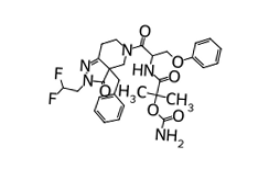 CC(C)(OC(N)=O)C(=O)NC(COc1ccccc1)C(=O)N1CCC2=NN(CC(F)F)C(=O)C2(Cc2ccccc2)C1